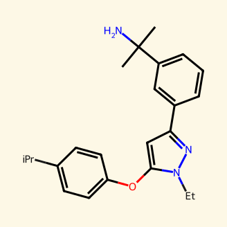 CCn1nc(-c2cccc(C(C)(C)N)c2)cc1Oc1ccc(C(C)C)cc1